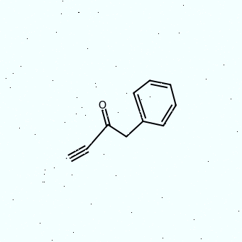 [C]#CC(=O)Cc1ccccc1